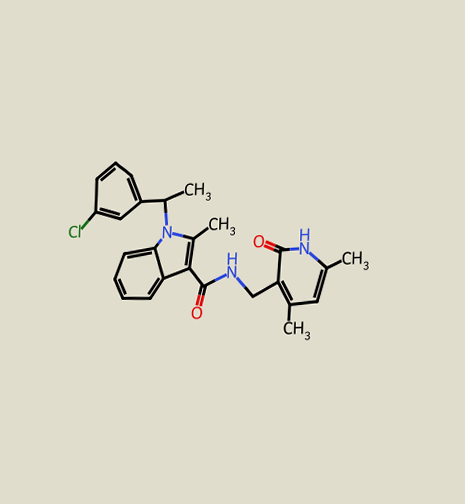 Cc1cc(C)c(CNC(=O)c2c(C)n(C(C)c3cccc(Cl)c3)c3ccccc23)c(=O)[nH]1